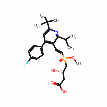 COP(=O)(/C=C/c1c(-c2ccc(F)cc2)cc(C(C)(C)C)nc1C(C)C)C[C@@H](O)CC(=O)O